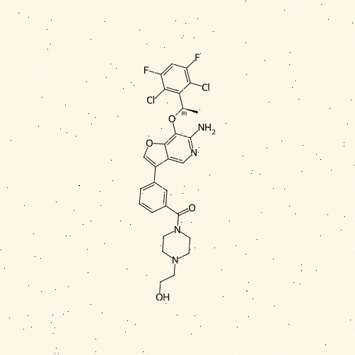 C[C@@H](Oc1c(N)ncc2c(-c3cccc(C(=O)N4CCN(CCO)CC4)c3)coc12)c1c(Cl)c(F)cc(F)c1Cl